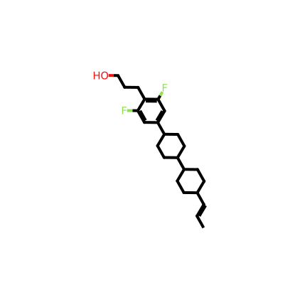 C/C=C/C1CCC(C2CCC(c3cc(F)c(CCCO)c(F)c3)CC2)CC1